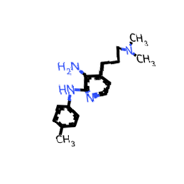 Cc1ccc(Nc2nccc(CCCN(C)C)c2N)cc1